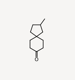 CC1CCC2(CCC(=O)CC2)C1